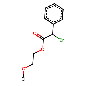 COCCOC(=O)C(Br)c1ccccc1